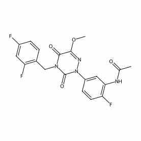 COc1nn(-c2ccc(F)c(NC(C)=O)c2)c(=O)n(Cc2ccc(F)cc2F)c1=O